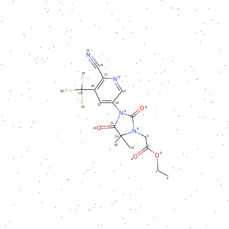 CCOC(=O)CN1C(=O)N(c2cnc(C#N)c(C(F)(F)F)c2)C(=O)C1(C)C